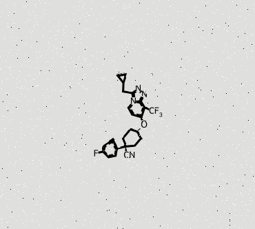 N#C[C@]1(c2ccc(F)cc2)CC[C@@H](Oc2ccn3c(CC4CC4)nnc3c2C(F)(F)F)CC1